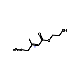 CCCCCC/C(C)=C/C(=O)OCCO